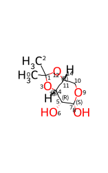 CC1(C)O[C@H]2[C@@H](O)[C@@H](O)OC[C@H]2O1